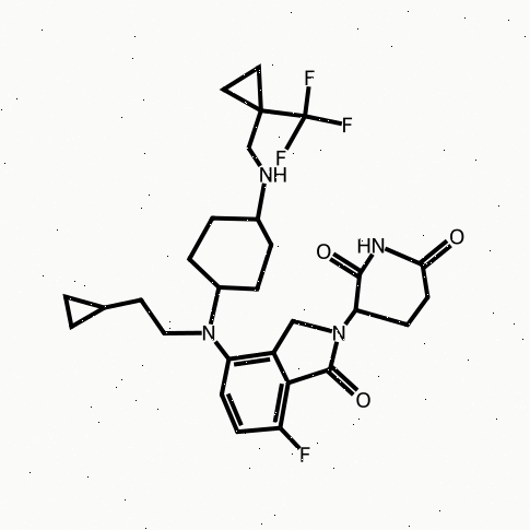 O=C1CCC(N2Cc3c(N(CCC4CC4)C4CCC(NCC5(C(F)(F)F)CC5)CC4)ccc(F)c3C2=O)C(=O)N1